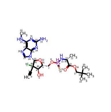 C#C[C@@]1(F)[C@H](O)[C@@H](CO[PH](=S)N[C@H](C)C(=O)OCC(C)(C)C)O[C@H]1n1cnc2c(NC)nc(N)nc21